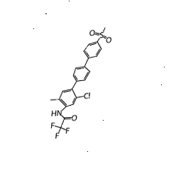 Cc1cc(-c2ccc(-c3ccc(S(C)(=O)=O)cc3)cc2)c(Cl)cc1NC(=O)C(F)(F)F